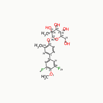 COc1c(F)cc(-c2ccc(O[C@H]3OC(CO)[C@@H](O)C(O)[C@]3(C)O)c(C)c2)cc1F